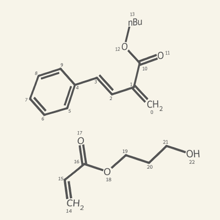 C=C(C=Cc1ccccc1)C(=O)OCCCC.C=CC(=O)OCCCO